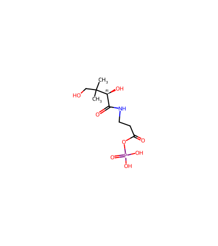 CC(C)(CO)[C@@H](O)C(=O)NCCC(=O)OP(=O)(O)O